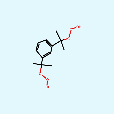 CC(C)(OOO)c1cccc(C(C)(C)OOO)c1